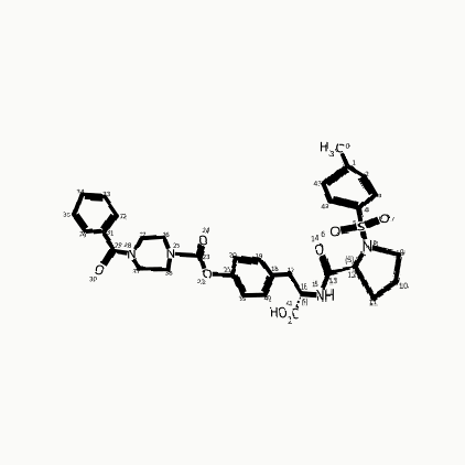 Cc1ccc(S(=O)(=O)N2CCC[C@H]2C(=O)N[C@@H](Cc2ccc(OC(=O)N3CCN(C(=O)c4ccccc4)CC3)cc2)C(=O)O)cc1